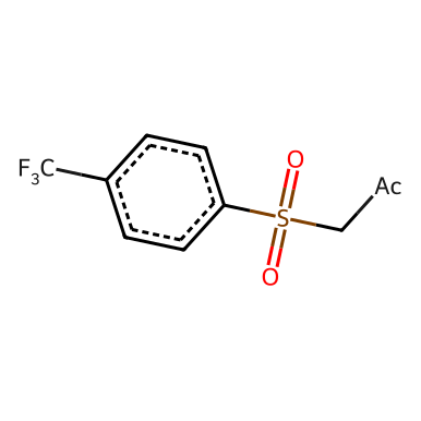 CC(=O)CS(=O)(=O)c1ccc(C(F)(F)F)cc1